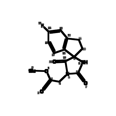 CC(C)(C)OC(=O)CN1C(=O)NC2(CCc3cc(F)ccc32)C1=O